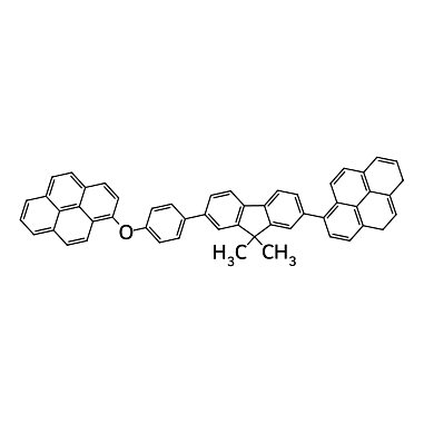 CC1(C)c2cc(-c3ccc(Oc4ccc5ccc6cccc7ccc4c5c67)cc3)ccc2-c2ccc(-c3ccc4c5c6c(ccc35)C=CCC6=CC4)cc21